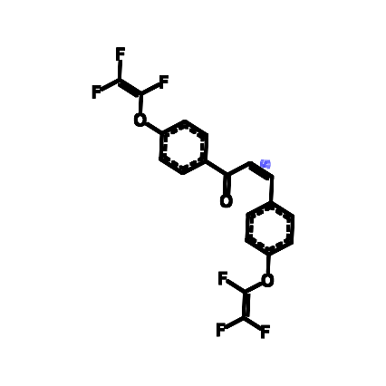 O=C(/C=C\c1ccc(OC(F)=C(F)F)cc1)c1ccc(OC(F)=C(F)F)cc1